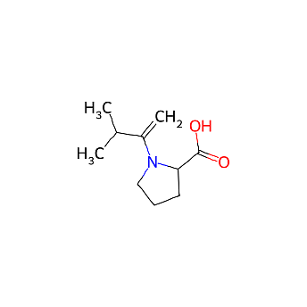 C=C(C(C)C)N1CCCC1C(=O)O